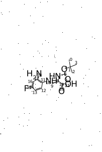 CC(C)(C)OC(=O)N[C@H](CNc1ccc(F)cc1N)C(=O)O